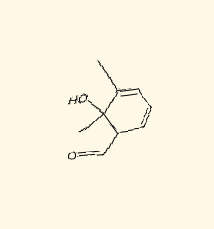 CC1=CC=CC(C=O)C1(C)O